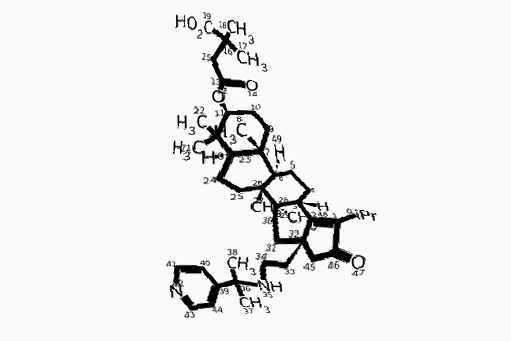 CC(C)C1=C2[C@H]3CC[C@@H]4[C@@]5(C)CC[C@H](OC(=O)CC(C)(C)C(=O)O)C(C)(C)[C@@H]5CC[C@@]4(C)[C@]3(C)CC[C@@]2(CCNC(C)(C)c2ccncc2)CC1=O